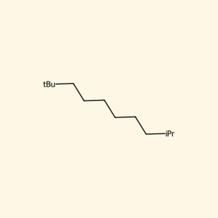 CC(C)CCCCCCC(C)(C)C